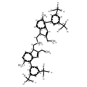 CCC1=Cc2c(ccc(C)c2-c2cc(C(F)(F)F)cc(C(F)(F)F)c2)C1C[SiH2]CC1C(CC)=Cc2c1ccc(C)c2-c1cc(C(F)(F)F)cc(C(F)(F)F)c1